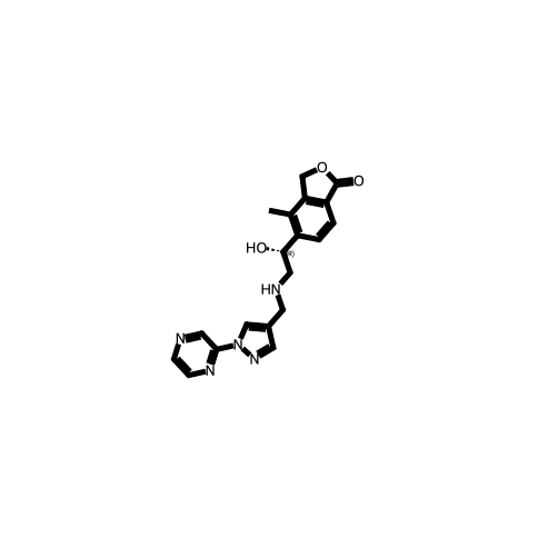 Cc1c([C@@H](O)CNCc2cnn(-c3cnccn3)c2)ccc2c1COC2=O